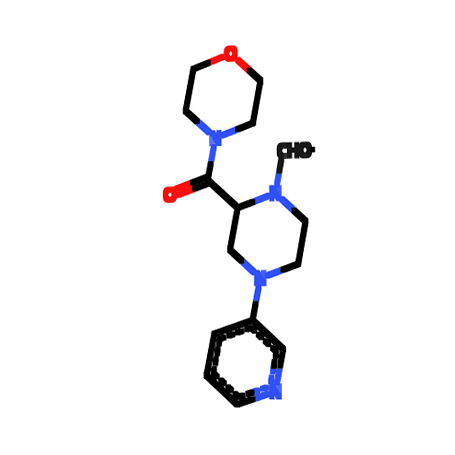 O=[C]N1CCN(c2cccnc2)CC1C(=O)N1CCOCC1